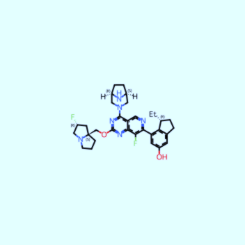 CC[C@@H]1CCc2cc(O)cc(-c3ncc4c(N5C[C@H]6CC[C@@H](C5)N6)nc(OC[C@@]56CCCN5C[C@H](F)C6)nc4c3F)c21